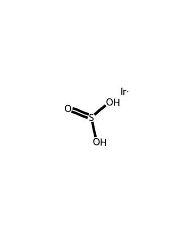 O=S(O)O.[Ir]